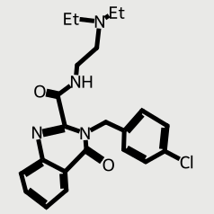 CCN(CC)CCNC(=O)c1nc2ccccc2c(=O)n1Cc1ccc(Cl)cc1